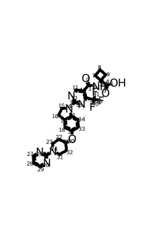 O=C(NC1(C(=O)O)CCC1)c1cnc(N2CCc3cc(OC4CCN(c5ncccn5)CC4)ccc32)nc1C(F)(F)F